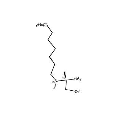 CCCCCCCCCCCCC[C@@H](C)[C@](C)(N)CO